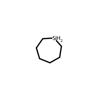 C1CCC[SiH2]CC1